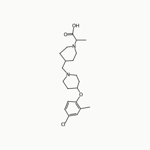 Cc1cc(Cl)ccc1OC1CCN(CC2CCN(C(C)C(=O)O)CC2)CC1